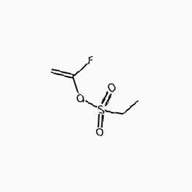 C=C(F)OS(=O)(=O)CC